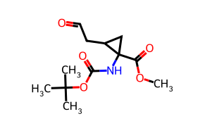 COC(=O)C1(NC(=O)OC(C)(C)C)CC1CC=O